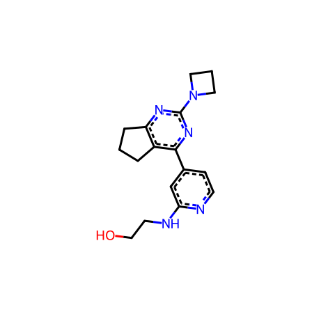 OCCNc1cc(-c2nc(N3CCC3)nc3c2CCC3)ccn1